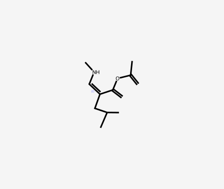 C=C(C)OC(=C)/C(=C\NC)CC(C)C